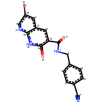 N#Cc1ccc(CNC(=O)c2cc3cc(Br)cnc3[nH]c2=O)cc1